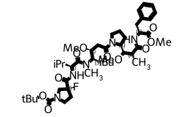 CC[C@H](C)C([C@@H](CC(=O)N1CCC[C@H]1C(OC)[C@@H](C)C(=O)N[C@@H](Cc1ccccc1)C(=O)OC)OC)N(C)C(=O)[C@@H](NC(=O)[C@@]1(F)CCN(C(=O)OC(C)(C)C)C1)C(C)C